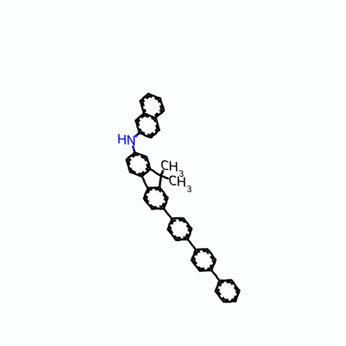 CC1(C)c2cc(Nc3ccc4ccccc4c3)ccc2-c2ccc(-c3ccc(-c4ccc(-c5ccccc5)cc4)cc3)cc21